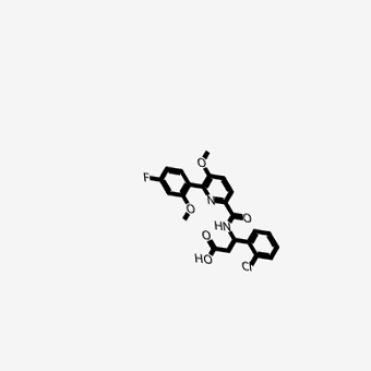 COc1cc(F)ccc1-c1nc(C(=O)NC(CC(=O)O)c2ccccc2Cl)ccc1OC